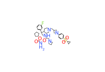 NC(=O)O[C@H]1CCC[C@@H]1C(CNC(=O)CN1CCC1)(c1cccc(F)c1)C1CCN(CC2CN(c3ccc(S(=O)(=O)C4CC4)cc3)C2)CC1